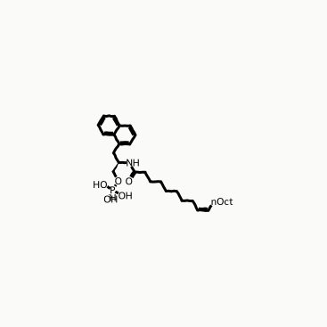 CCCCCCCC/C=C\CCCCCCCC(=O)N[C@@H](CO[PH](O)(O)O)Cc1cccc2ccccc12